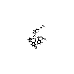 CCOC(=O)Cc1nnn(CC[C@H]2S[C@H](c3cccc(OC)c3OC)c3cc(Cl)ccc3-n3cccc32)n1